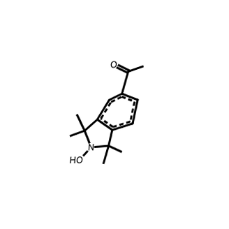 CC(=O)c1ccc2c(c1)C(C)(C)N(O)C2(C)C